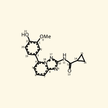 COc1cc(-c2cccc3nc(NC(=O)C4CC4)nn23)ccc1O